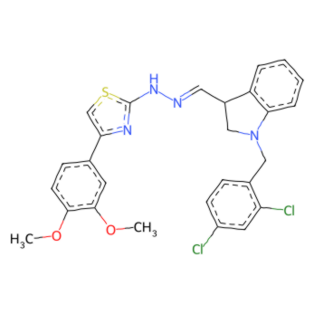 COc1ccc(-c2csc(N/N=C/C3CN(Cc4ccc(Cl)cc4Cl)c4ccccc43)n2)cc1OC